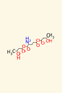 CC(O)CC(=O)OC(=O)CC[C@H](N)C(=O)OC(=O)CC(C)O